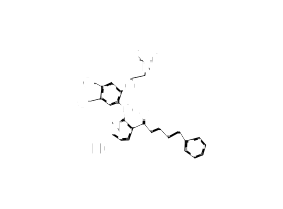 CN(C)CCOc1cc(Cl)c(Cl)cc1Oc1ncccc1C(=O)C=CC=Cc1ccccc1.Cl